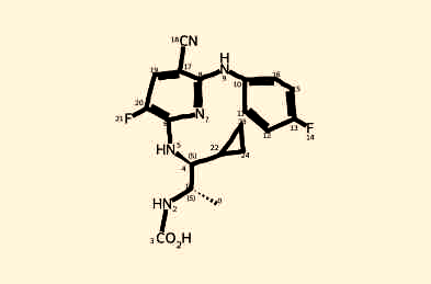 C[C@H](NC(=O)O)[C@@H](Nc1nc(Nc2ccc(F)cc2)c(C#N)cc1F)C1CC1